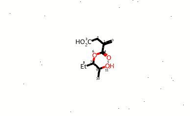 C=C(CC(=O)O)C(=O)OC(CC)C(C)O